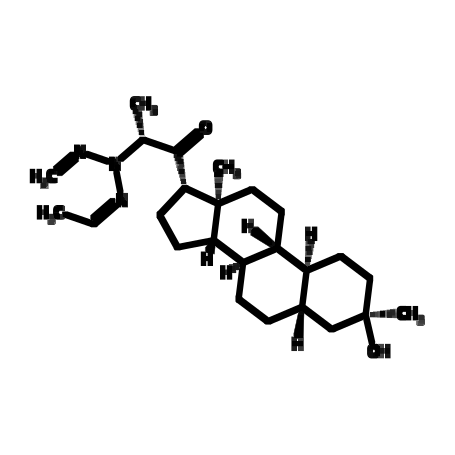 C=NN(/N=C\C)[C@H](C)C(=O)[C@H]1CC[C@H]2[C@@H]3CC[C@H]4C[C@](C)(O)CC[C@@H]4[C@H]3CC[C@]12C